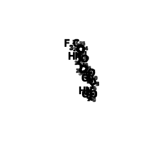 C=CS(=O)(=O)NCC1CCN(S(=O)(=O)c2ccc(CC(=O)Nc3cccc(C(F)(F)F)c3)cc2)C1